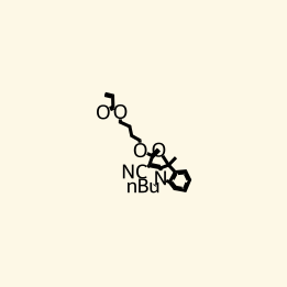 C=CC(=O)OCCCCOC(=O)/C(C#N)=C1/N(CCCC)c2ccccc2C1(C)C